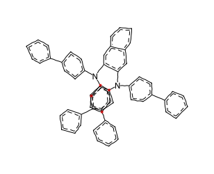 c1ccc(-c2ccc(N(c3ccc(-c4ccccc4)cc3)c3cc4ccccc4cc3N(c3ccc(-c4ccccc4)cc3)c3ccc(-c4ccccc4)cc3)cc2)cc1